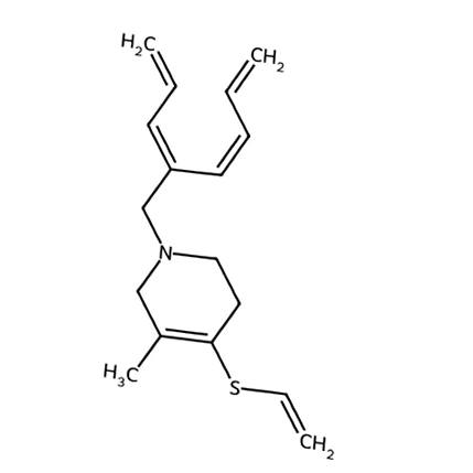 C=C/C=C\C(=C/C=C)CN1CCC(SC=C)=C(C)C1